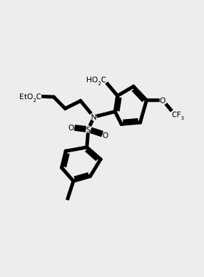 CCOC(=O)CCCN(c1ccc(OC(F)(F)F)cc1C(=O)O)S(=O)(=O)c1ccc(C)cc1